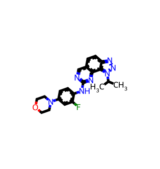 CC(C)n1nnc2ccc3cnc(Nc4ccc(N5CCOCC5)cc4F)nc3c21